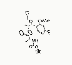 COc1cc(F)ccc1[C@@H](OCC1CC1)[C@H](C)OC(=O)[C@H](C)NC(=O)OC(C)(C)C